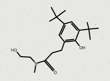 CN(CCO)C(=O)CCc1cc(C(C)(C)C)cc(C(C)(C)C)c1O